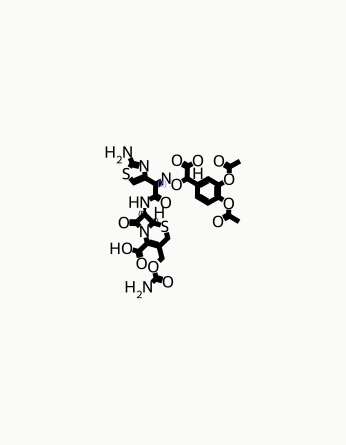 CC(=O)Oc1ccc(C(O/N=C(\C(=O)N[C@@H]2C(=O)N3C(C(=O)O)=C(COC(N)=O)CS[C@H]23)c2csc(N)n2)C(=O)O)cc1OC(C)=O